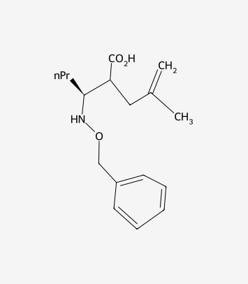 C=C(C)CC(C(=O)O)[C@H](CCC)NOCc1ccccc1